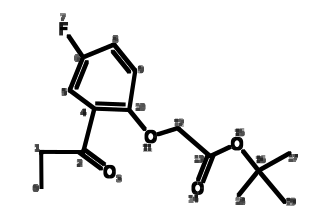 CCC(=O)c1cc(F)ccc1OCC(=O)OC(C)(C)C